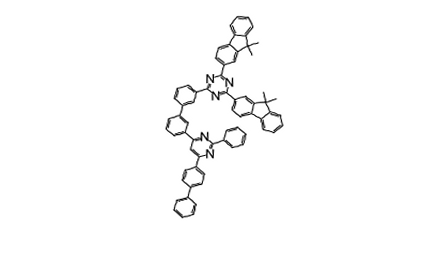 CC1(C)c2ccccc2-c2ccc(-c3nc(-c4cccc(-c5cccc(-c6cc(-c7ccc(-c8ccccc8)cc7)nc(-c7ccccc7)n6)c5)c4)nc(-c4ccc5c(c4)C(C)(C)c4ccccc4-5)n3)cc21